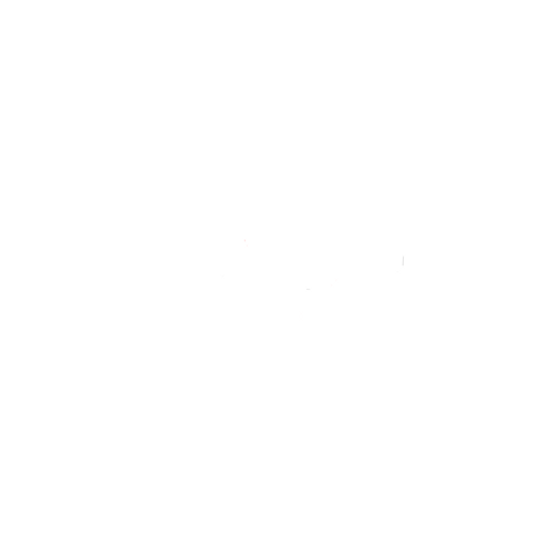 Cc1ccc(C(=O)/C=C/C(=O)Oc2ccccc2C(=O)O)cc1